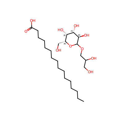 CCCCCCCCCCCCCCCC(=O)O.OCC(O)COC1O[C@H](CO)[C@H](O)[C@H](O)[C@H]1O